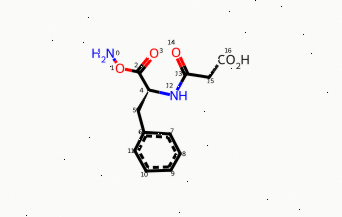 NOC(=O)[C@H](Cc1ccccc1)NC(=O)CC(=O)O